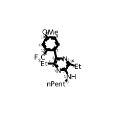 CCCCCNc1nc(CC)c(-c2ccc(OC)cc2C(F)(F)F)nc1CC